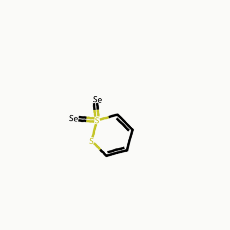 [Se]=S1(=[Se])C=CC=CS1